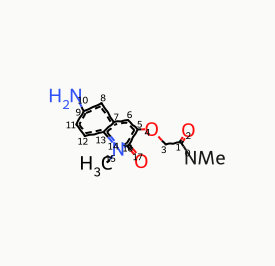 CNC(=O)COc1cc2cc(N)ccc2n(C)c1=O